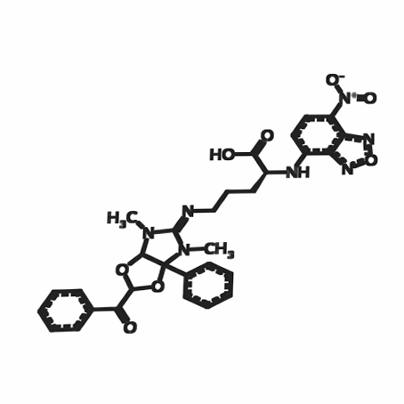 CN1/C(=N/CCC[C@H](Nc2ccc([N+](=O)[O-])c3nonc23)C(=O)O)N(C)C2(c3ccccc3)OC(C(=O)c3ccccc3)OC12